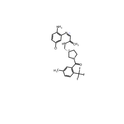 C=C(/C=N\c1cc(Cl)ccc1N)NC[C@@H]1CCN(C(=O)c2cc(C)ccc2C(F)(F)F)C1